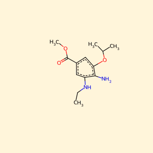 CCNc1cc(C(=O)OC)cc(OC(C)C)c1N